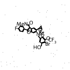 CNC(=O)c1c(-c2ccc(F)cc2)oc2cc(N(Cc3cc(CO)c(Br)c(OC(F)(F)F)c3)S(C)(=O)=O)c(C3CC3)cc12